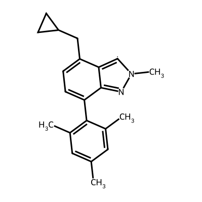 Cc1cc(C)c(-c2ccc(CC3CC3)c3[c]n(C)nc23)c(C)c1